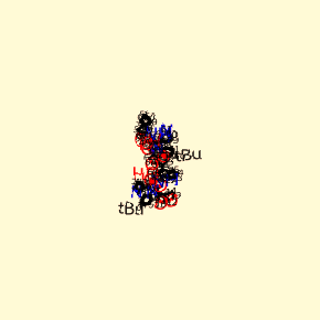 CC(C)(C)c1ccc(N(C(=O)C2COC3OCCC32)C(C(=O)N[C@@H]2c3ccccc3C(C3COC4C(C(=O)N(c5ccc(C(C)(C)C)cc5)C(C(=O)N[C@@H]5c6ccccc6C[C@@H]5O)c5cccnc5)COC34)[C@@H]2O)c2cccnc2)cc1